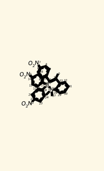 CC1=C(c2ccc([N+](=O)[O-])cc2)[B-](c2ccc([N+](=O)[O-])cc2)(c2ccc([N+](=O)[O-])cc2)[N+](C)(C)c2ccccc21